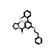 O=C(O)C1CCCN1C(=O)c1cc(OCCc2ccccc2)cc(-c2ccccc2Cl)c1